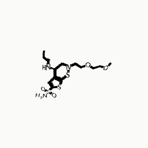 CCCN[C@H]1CN(CCOCCOC)Sc2sc(S(N)(=O)=O)cc21